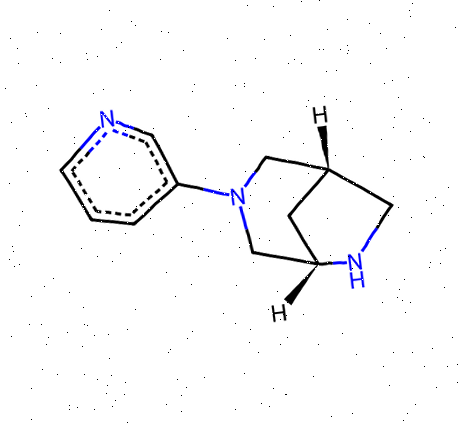 c1cncc(N2C[C@@H]3CN[C@@H](C3)C2)c1